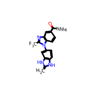 C=C1Nc2ccc(-n3c(C(F)(F)F)nc4cc(C(=O)NC)ccc43)cc2N1